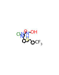 O=C(NCCO)c1cc(-c2cccc3cc(Cc4cccc(C(F)(F)F)c4)sc23)nc(Cl)n1